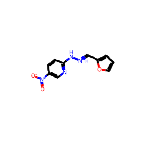 O=[N+]([O-])c1ccc(N/N=C/c2ccco2)nc1